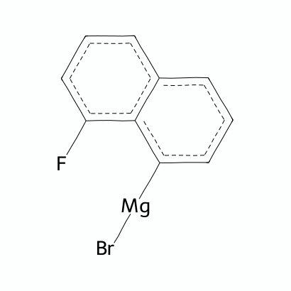 Fc1cccc2ccc[c]([Mg][Br])c12